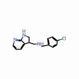 Clc1ccc(CNCC2CNc3ncccc32)cc1